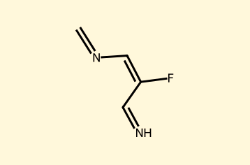 C=N/C=C(/F)C=N